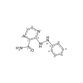 NC(=O)c1nccnc1NNc1ccccc1